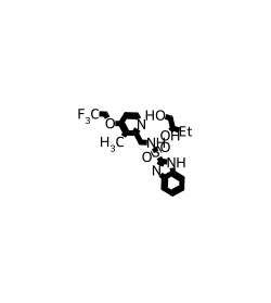 CCC(O)CO.Cc1c(OCC(F)(F)F)ccnc1CNS(=O)(=O)c1nc2ccccc2[nH]1